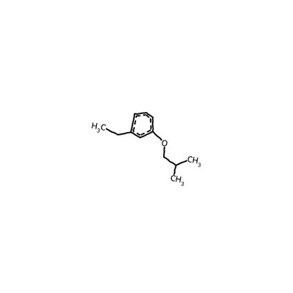 CCc1cccc(OCC(C)C)c1